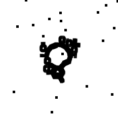 CO[C@@H]1/C=C\C(=O)[C@H]2OC(C)(C)O[C@H]2C/C=C/c2cc(C)cc(C)c2C(=O)O[C@H]1C